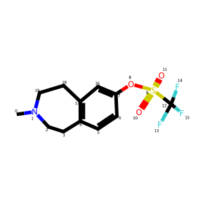 CN1CCc2ccc(OS(=O)(=O)C(F)(F)F)cc2CC1